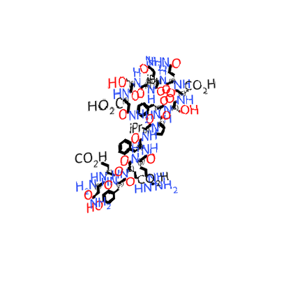 CC[C@H](C)[C@H](NC(=O)[C@H](CCC(N)=O)NC(=O)[C@H](CCC(N)=O)NC(=O)[C@H](CC(=O)O)NC(=O)[C@H](CO)NC(=O)[C@H](Cc1ccccc1)NC(=O)[C@@H]1CCCN1C(=O)[C@@H](NC(=O)[C@H](Cc1ccccc1)NC(=O)[C@H](CCCNC(=N)N)NC(=O)[C@H](CCC(=O)O)NC(=O)[C@H](Cc1ccc(O)cc1)NC(=O)[C@H](CCC(=O)O)NC(=O)[C@@H](N)CC(N)=O)C(C)C)C(=O)N[C@@H](CO)C(=O)N[C@@H](CC(N)=O)C(=O)O